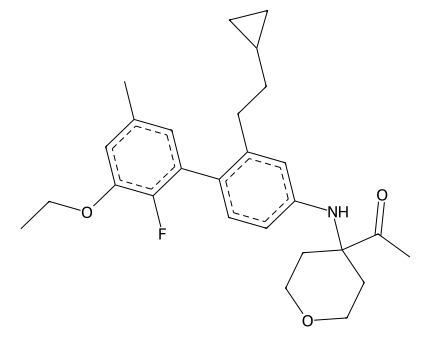 CCOc1cc(C)cc(-c2ccc(NC3(C(C)=O)CCOCC3)cc2CCC2CC2)c1F